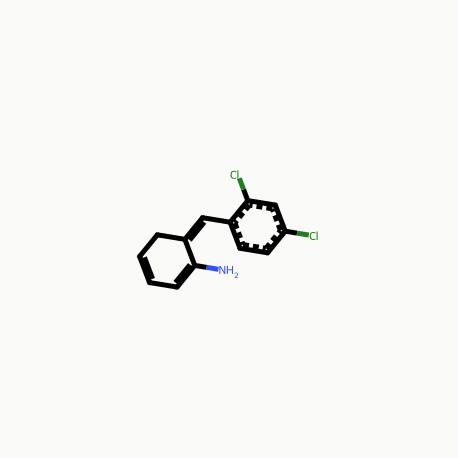 NC1=CC=CCC1=Cc1ccc(Cl)cc1Cl